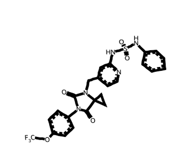 O=C1N(c2ccc(OC(F)(F)F)cc2)C(=O)C2(CC2)N1Cc1ccnc(NS(=O)(=O)Nc2ccccc2)c1